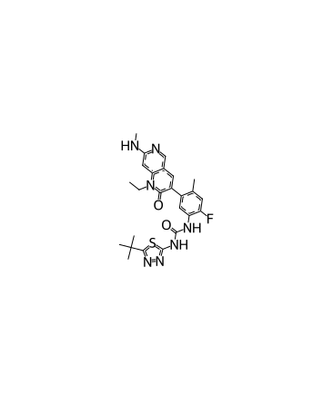 CCn1c(=O)c(-c2cc(NC(=O)Nc3nnc(C(C)(C)C)s3)c(F)cc2C)cc2cnc(NC)cc21